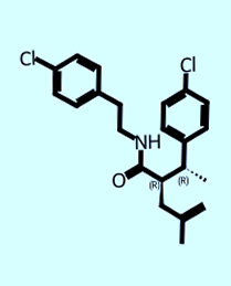 C=C(C)C[C@@H](C(=O)NCCc1ccc(Cl)cc1)[C@@H](C)c1ccc(Cl)cc1